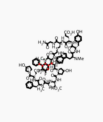 CCCC[C@@H](C(O)N1C[C@H](O)C[C@@H]1C(=O)N[C@@H](CC(=O)O)N[C@H](C(=O)N(C)[C@@H](Cc1ccccc1)C(=O)N[C@@H](CC(=O)O)C(=O)N1CC[C@@H](O)C1)C(C)C)N(C)C(=O)[C@H](Cc1ccccc1)N(C)C(=O)[C@H](Cc1cc(F)c(F)c(F)c1)NC(=O)CSC[C@H](NC(=O)[C@H](CCC(=O)O)NC(=O)[C@H](Cc1ccc(O)cc1)NC(=O)[C@H](Cc1c[nH]c2ccccc12)NC)C(=O)NCC(N)=O